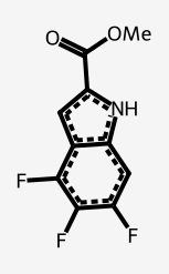 COC(=O)c1cc2c(F)c(F)c(F)cc2[nH]1